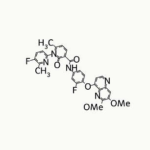 COc1cc2nccc(Oc3ccc(NC(=O)c4ccc(C)n(-c5ccc(F)c(C)n5)c4=O)cc3F)c2nc1OC